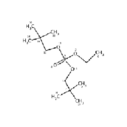 CCOP(=O)(OCC(C)(C)C)OCC(C)(C)C